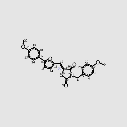 COc1ccc(CN2C(=O)S/C(=C\c3ccc(-c4ccc(OC)cc4)o3)C2=O)cc1